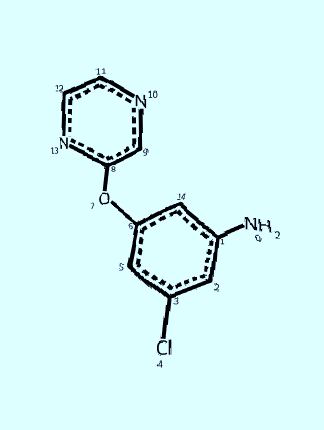 Nc1cc(Cl)cc(Oc2cnccn2)c1